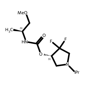 COC[C@H](C)NC(=O)O[C@H]1CN(C(C)C)CC1(F)F